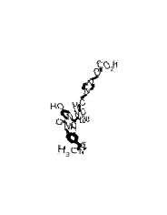 Cc1ncsc1-c1ccc(CNC(=O)[C@@H]2C[C@@H](O)CN2C(=O)[C@@H](NC(=O)COCCN2CCN(CCOCC(=O)O)CC2)C(C)(C)C)cc1